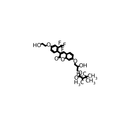 CC(C(=O)OCC(O)COC1=CC2OC(=O)C(c3ccc(OCCO)cc3C(F)(F)F)=CC2C=C1)C(C)(C)C